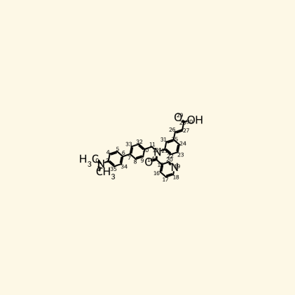 CN(C)c1ccc(-c2ccc(CN(C(=O)c3cccnc3)c3cccc(C=CC(=O)O)c3)cc2)cc1